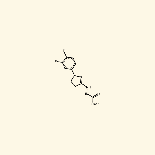 COC(=O)NNC1=NC(c2ccc(F)c(F)c2)CC1